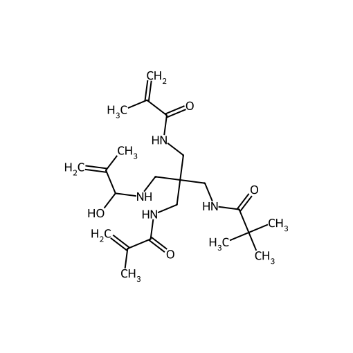 C=C(C)C(=O)NCC(CNC(=O)C(=C)C)(CNC(=O)C(C)(C)C)CNC(O)C(=C)C